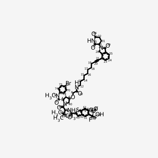 CN(C(=O)[C@@H]1C[C@@H](OCC(=O)NCCCCCCCCC#Cc2cccc3c2CN(C2CCC(=O)NC2=O)C3=O)CN1C(=O)[C@@H](NC(=O)c1cc2cc(C(F)(F)P(=O)(O)O)ccc2s1)C(C)(C)C)c1ccc(Br)cc1